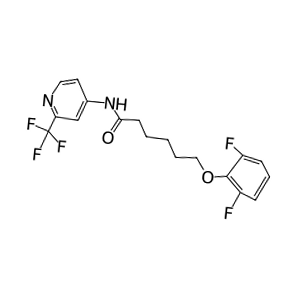 O=C(CCCCCOc1c(F)cccc1F)Nc1ccnc(C(F)(F)F)c1